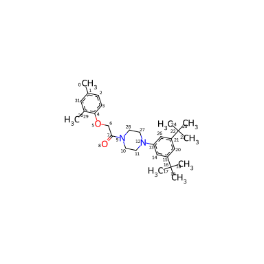 Cc1ccc(OCC(=O)N2CCN(c3cc(C(C)(C)C)cc(C(C)(C)C)c3)CC2)c(C)c1